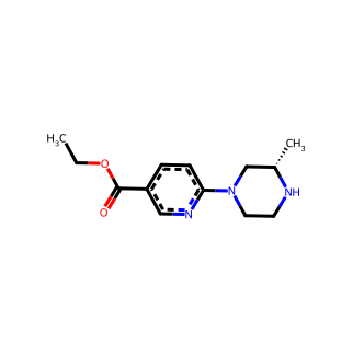 CCOC(=O)c1ccc(N2CCN[C@@H](C)C2)nc1